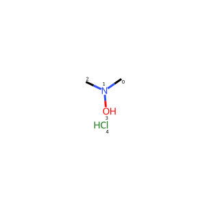 CN(C)O.Cl